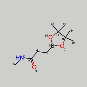 CNC(=O)CCB1OC(C)(C)C(C)(C)O1